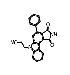 N#CCCn1c2ccccc2c2c3c(c(-c4ccccc4)cc21)C(=O)NC3=O